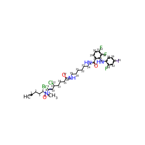 C#CCCC[N+](C)([O-])/C(Br)=C/C(Cl)CCCC(=O)NCCCCCCNC(=O)c1ccc(F)c(F)c1Nc1ccc(I)cc1F